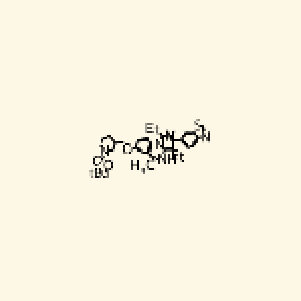 CCc1nc(NC(C)c2cccc(OCC3CCCN(C(=O)OC(C)(C)C)C3)c2)c(CC)c(-c2ccc3ncsc3c2)n1